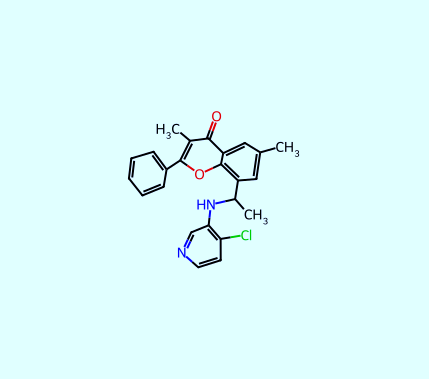 Cc1cc(C(C)Nc2cnccc2Cl)c2oc(-c3ccccc3)c(C)c(=O)c2c1